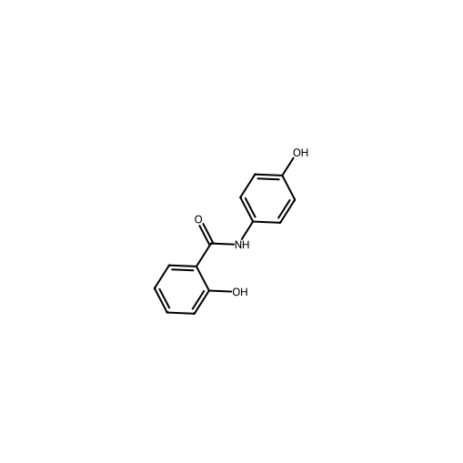 O=C(Nc1ccc(O)cc1)c1ccccc1O